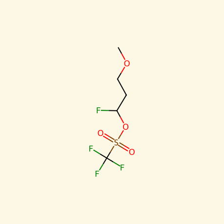 COCCC(F)OS(=O)(=O)C(F)(F)F